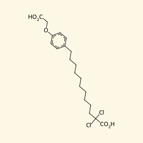 O=C(O)COc1ccc(CCCCCCCCCCC(Cl)(Cl)C(=O)O)cc1